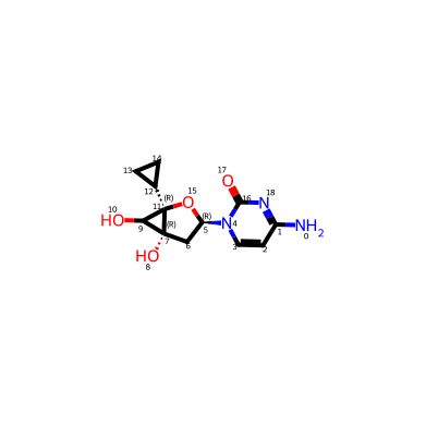 Nc1ccn([C@H]2C[C@@]3(O)C(O)[C@@]3(C3CC3)O2)c(=O)n1